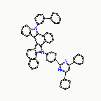 c1ccc(-c2cccc(-n3c4ccccc4c4c5c6ccc7ccccc7c6n(-c6ccc(-c7nc(-c8ccccc8)cc(-c8ccccc8)n7)cc6)c5c5ccccc5c43)c2)cc1